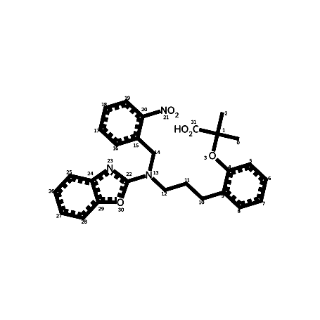 CC(C)(Oc1ccccc1CCCN(Cc1ccccc1[N+](=O)[O-])c1nc2ccccc2o1)C(=O)O